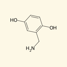 NCc1cc(O)ccc1O